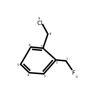 FCc1ccccc1CCl